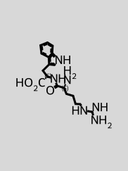 N=C(N)NCCCC[C@H](N)C(=O)N[C@@H](Cc1c[nH]c2ccccc12)C(=O)O